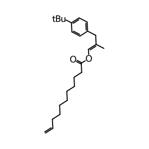 C=CCCCCCCCCC(=O)OC=C(C)Cc1ccc(C(C)(C)C)cc1